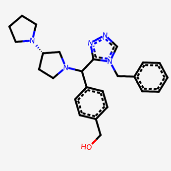 OCc1ccc(C(c2nncn2Cc2ccccc2)N2CC[C@H](N3CCCC3)C2)cc1